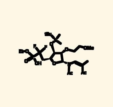 CCOP(=O)(O)C(F)(F)C[C@H]1O[C@@H](N(/C=C(/C)C(C)=O)C(C)=O)[C@H](OCCOC)[C@@H]1O[Si](C)(C)C(C)(C)C